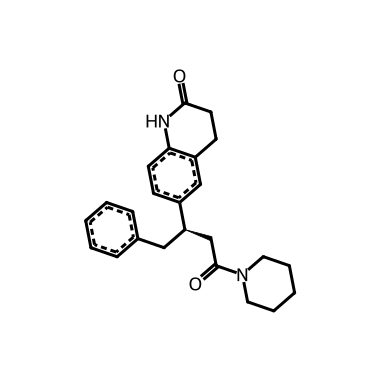 O=C1CCc2cc([C@@H](CC(=O)N3CCCCC3)Cc3ccccc3)ccc2N1